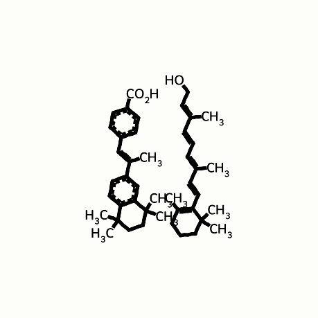 C/C(=C\c1ccc(C(=O)O)cc1)c1ccc2c(c1)C(C)(C)CCC2(C)C.CC1=C(/C=C/C(C)=C/C=C/C(C)=C/CO)C(C)(C)CCC1